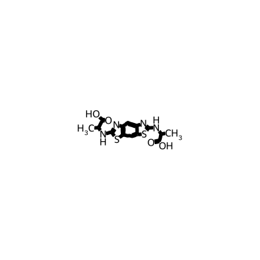 CC(Nc1nc2cc3nc(NC(C)C(=O)O)sc3cc2s1)C(=O)O